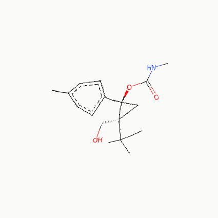 CNC(=O)O[C@@]1(c2ccc(C)cc2)C[C@@]1(CO)C(C)(C)C